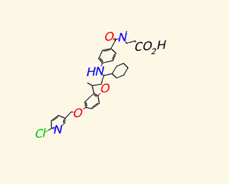 CC1c2cc(OCc3ccc(Cl)nc3)ccc2OC1C(Nc1ccc(C(=O)N(C)CCC(=O)O)cc1)C1CCCCC1